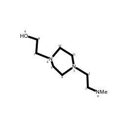 CNCCN1CCN(CCO)CC1